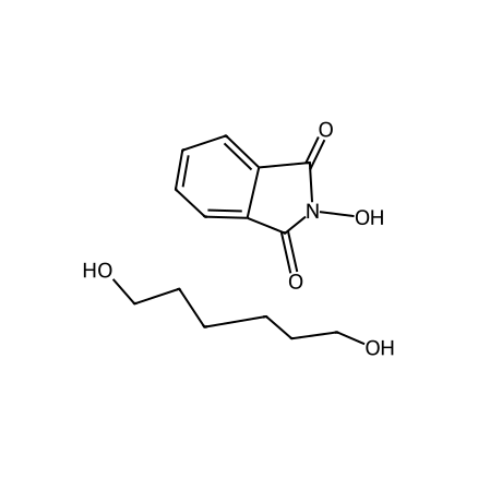 O=C1c2ccccc2C(=O)N1O.OCCCCCCO